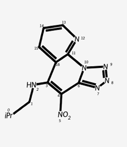 CC(C)CNc1c([N+](=O)[O-])c2nnnn2c2ncccc12